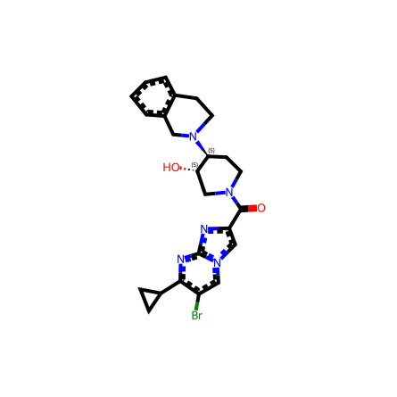 O=C(c1cn2cc(Br)c(C3CC3)nc2n1)N1CC[C@H](N2CCc3ccccc3C2)[C@@H](O)C1